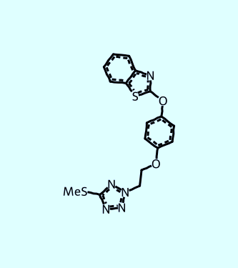 CSc1nnn(CCOc2ccc(Oc3nc4ccccc4s3)cc2)n1